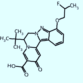 CC(F)COc1cccc2c3n(nc12)CC(C(C)(C)C)n1cc(C(=O)O)c(=O)cc1-3